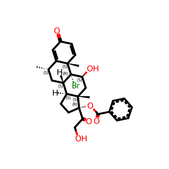 C[C@H]1C[C@H]2[C@@H]3CC[C@](OC(=O)c4ccccc4)(C(=O)CO)[C@@]3(C)C[C@H](O)[C@]2(Br)[C@@]2(C)C=CC(=O)C=C12